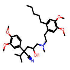 CCCCCc1cc(OC)c(OC)cc1CCN(C)CC(O)CC(C#N)(c1ccc(OC)c(OC)c1)C(C)C